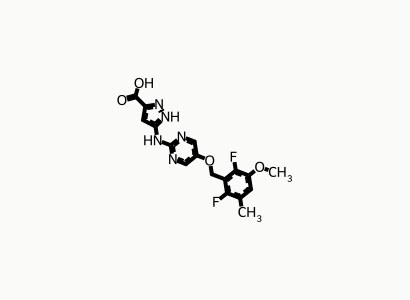 COc1cc(C)c(F)c(COc2cnc(Nc3cc(C(=O)O)n[nH]3)nc2)c1F